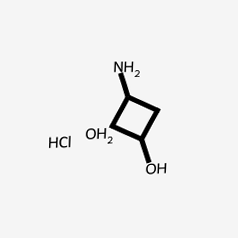 Cl.NC1CC(O)C1.O